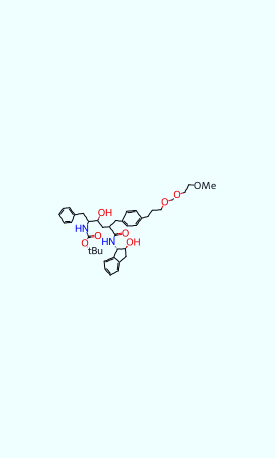 COCCOCOCCCc1ccc(CC(CC(O)C(Cc2ccccc2)NC(=O)OC(C)(C)C)C(=O)N[C@H]2c3ccccc3C[C@@H]2O)cc1